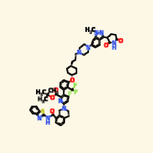 Cn1nc(C2CCC(=O)NC2=O)c2ccc(N3CCN(CCC[C@H]4CC[C@H](Oc5cccc(-c6ccc(N7CCc8cccc(C(=O)Nc9nc%10ccccc%10s9)c8C7)nc6C(=O)OC(C)(C)C)c5C(F)(F)F)CC4)CC3)cc21